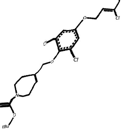 CC(C)(C)OC(=O)N1CCC(COc2c(Cl)cc(OCC=C(Cl)Cl)cc2Cl)CC1